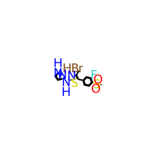 Br.Cc1nc(Nc2cc[nH]n2)sc1-c1ccc(S(C)(=O)=O)c(F)c1